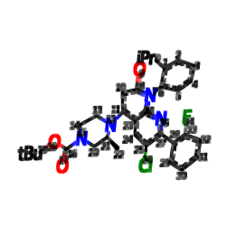 CC(C)c1ccccc1-n1c(=O)cc(N2CCN(C(=O)OC(C)(C)C)C[C@@H]2C)c2cc(Cl)c(-c3ccccc3F)nc21